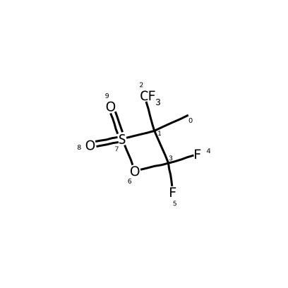 CC1(C(F)(F)F)C(F)(F)OS1(=O)=O